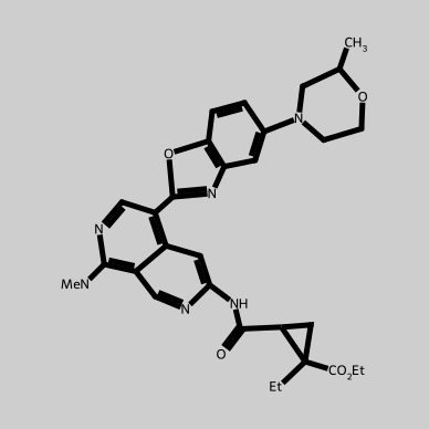 CCOC(=O)C1(CC)CC1C(=O)Nc1cc2c(-c3nc4cc(N5CCOC(C)C5)ccc4o3)cnc(NC)c2cn1